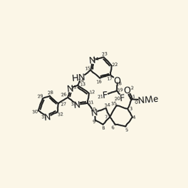 CNC(=O)C1CCCC2(CCN(c3cc(Nc4cc(OC(F)F)ccn4)nc(-c4cccnc4)n3)C2)C1